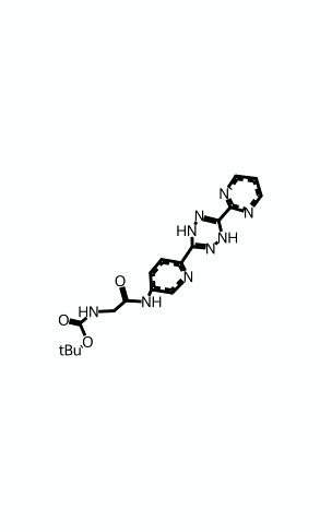 CC(C)(C)OC(=O)NCC(=O)Nc1ccc(C2=NNC(c3ncccn3)=NN2)nc1